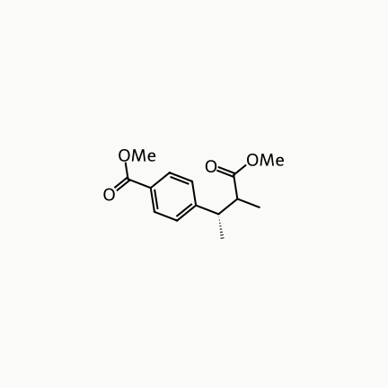 COC(=O)c1ccc([C@@H](C)C(C)C(=O)OC)cc1